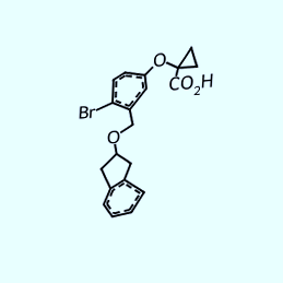 O=C(O)C1(Oc2ccc(Br)c(COC3Cc4ccccc4C3)c2)CC1